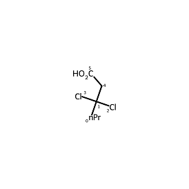 CCCC(Cl)(Cl)CC(=O)O